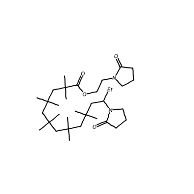 CCC(CC(C)(C)CC(C)(C)CC(C)(C)CC(C)(C)CC(C)(C)C(=O)OCCN1CCCC1=O)N1CCCC1=O